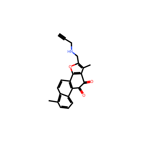 C#CCNCc1oc2c(c1C)C(=O)C(=O)c1c-2ccc2c(C)cccc12